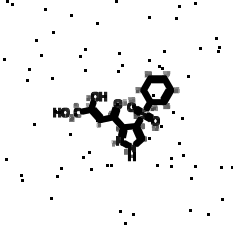 O=C(O)C(O)=CC(=O)c1n[nH]cc1S(=O)(=O)C1C=CC=CC1